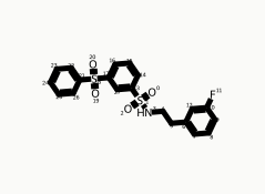 O=S(=O)(NCCc1cccc(F)c1)c1cccc(S(=O)(=O)c2ccccc2)c1